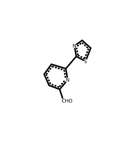 O=Cc1cccc(-c2nccs2)n1